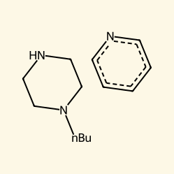 CCCCN1CCNCC1.c1ccncc1